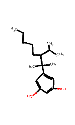 CCCCCC(C(C)C)C(C)(C)c1cc(O)cc(O)c1